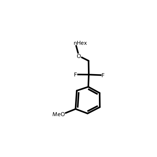 C[CH]CCCCOCC(F)(F)c1cccc(OC)c1